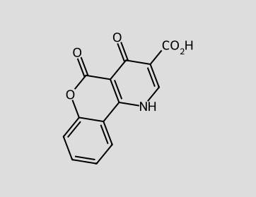 O=C(O)c1c[nH]c2c(c(=O)oc3ccccc32)c1=O